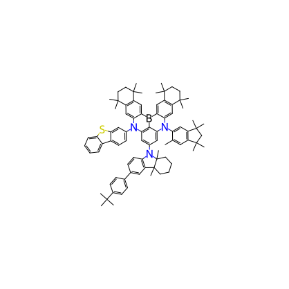 Cc1cc2c(cc1N1c3cc4c(cc3B3c5cc6c(cc5N(c5ccc7c(c5)sc5ccccc57)c5cc(N7c8ccc(-c9ccc(C(C)(C)C)cc9)cc8C8(C)CCCCC78C)cc1c53)C(C)(C)CCC6(C)C)C(C)(C)CCC4(C)C)C(C)(C)CC2(C)C